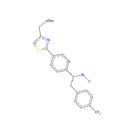 CCCCCCCCCCCc1csc(-c2ccc(C(Cc3ccc(C(F)(F)F)cc3)[N][O])cc2)n1